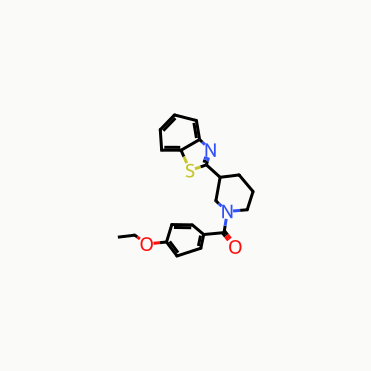 CCOc1ccc(C(=O)N2CCCC(c3nc4ccccc4s3)C2)cc1